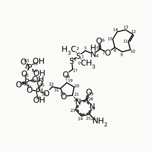 CS(C)(CNC(=O)OC1CC/C=C/CCC1)SCO[C@@H]1C[C@H](n2ccc(N)nc2=O)OC1COP(=O)(O)OP(=O)(O)OP(=O)(O)O